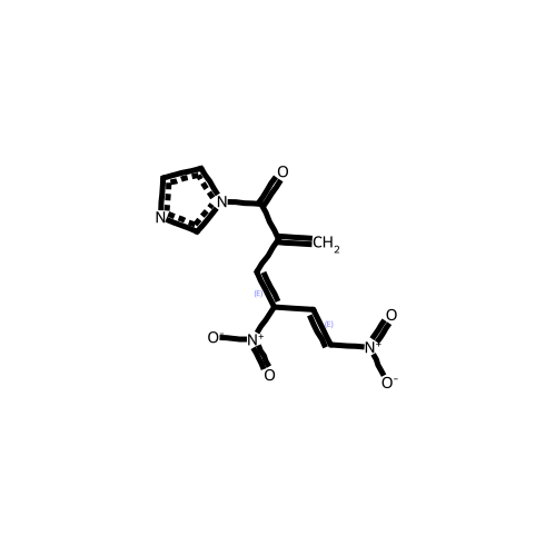 C=C(/C=C(\C=C\[N+](=O)[O-])[N+](=O)[O-])C(=O)n1ccnc1